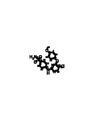 COc1ccc(Oc2nc(Nc3ccc(S(N)(=O)=O)cc3)ncc2Cl)cc1